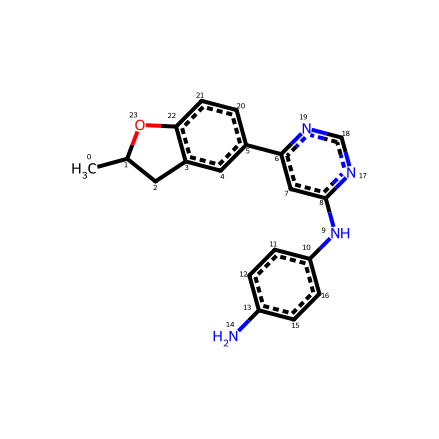 CC1Cc2cc(-c3cc(Nc4ccc(N)cc4)ncn3)ccc2O1